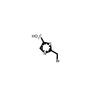 O=C(O)c1cnc(CBr)s1